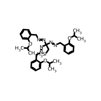 CC(C)Oc1ccccc1CN=NC(C[SiH3])(N=NCc1ccccc1OC(C)C)N=NCc1ccccc1OC(C)C